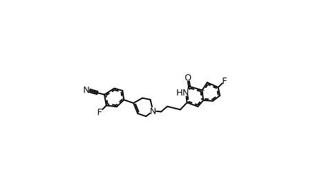 N#Cc1ccc(C2=CCN(CCCc3cc4ccc(F)cc4c(=O)[nH]3)CC2)cc1F